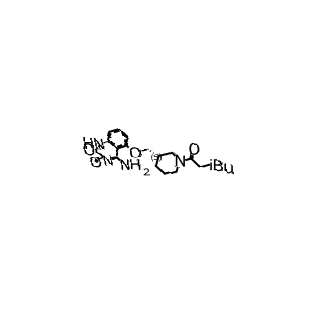 CCC(C)CC(=O)N1CCC[C@H](COc2cccc3c2C(N)=NS(=O)(=O)N3)C1